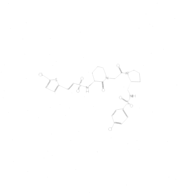 O=C1[C@@H](NS(=O)(=O)/C=C/c2ccc(Cl)s2)CCCN1CC(=O)N1CCC[C@@H]1CNS(=O)(=O)c1ccc(Cl)cc1